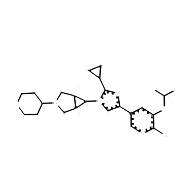 Nc1ncc(-c2cn(C3[C@H]4CN(C5CCOCC5)C[C@@H]34)c(C3CC3)n2)cc1OC(F)F